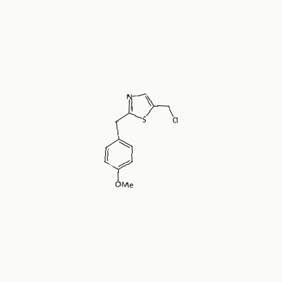 COc1ccc(Cc2ncc(CCl)s2)cc1